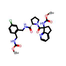 CC(C)(C)OC(=O)NCc1ccc(Cl)cc1CNC(=O)[C@@H]1CCCN1C(=O)C1(NC(=O)OC(C)(C)C)CCc2cccnc21